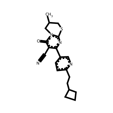 CC1CSc2nc(-c3ccc(CCC4CCC4)nc3)c(C#N)c(=O)n2C1